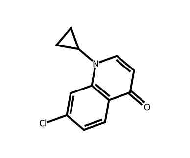 O=c1ccn(C2CC2)c2cc(Cl)ccc12